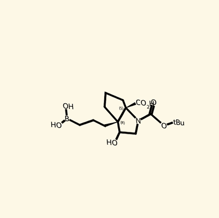 CC(C)(C)OC(=O)N1CC(O)[C@]2(CCCB(O)O)CCC[C@]12C(=O)O